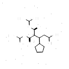 CC(C)CC(C1CCCC1)C(C(=O)OC(C)C)C(=O)OC(C)C